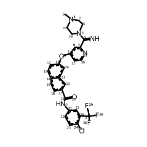 CN1CCN(C(=N)c2cc(Oc3ccc4ccc(C(=O)Nc5ccc(Cl)c(C(F)(F)F)c5)cc4c3)ccn2)CC1